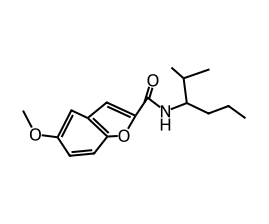 CCCC(NC(=O)c1cc2cc(OC)ccc2o1)C(C)C